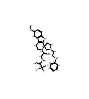 COc1ccc2[nH]c3c(c2c1)CCN(C(=O)COC(=O)C(F)(F)F)C31CCN(CCOc2ccccc2)C1